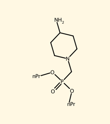 CCCOP(=O)(CN1CCC(N)CC1)OCCC